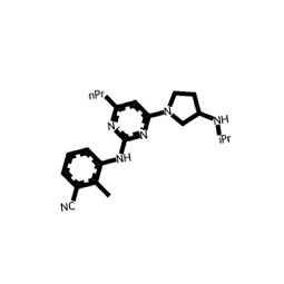 CCCc1cc(N2CCC(NC(C)C)C2)nc(Nc2cccc(C#N)c2C)n1